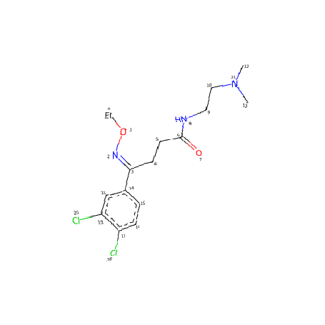 CCON=C(CCC(=O)NCCN(C)C)c1ccc(Cl)c(Cl)c1